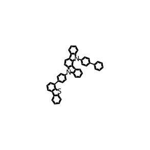 c1ccc(-c2ccc(-n3c4ccccc4c4ccc5c(c6ccccc6n5-c5ccc(-c6cccc7c6sc6ccccc67)cc5)c43)cc2)cc1